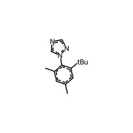 Cc1cc(C)c(-n2cncn2)c(C(C)(C)C)c1